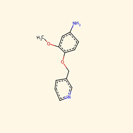 COc1cc(N)ccc1OCc1cccnc1